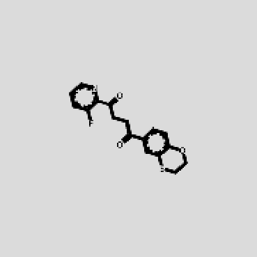 O=C(CCC(=O)c1ncccc1F)c1ccc2c(c1)SCCO2